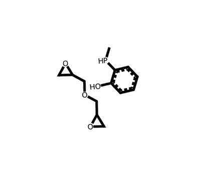 C(OCC1CO1)C1CO1.CPc1ccccc1O